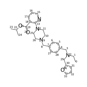 CCN(Cc1ccc(CN2CCN(c3ncccc3C(=O)OC(C)C)CC2)cc1)Cc1ccco1